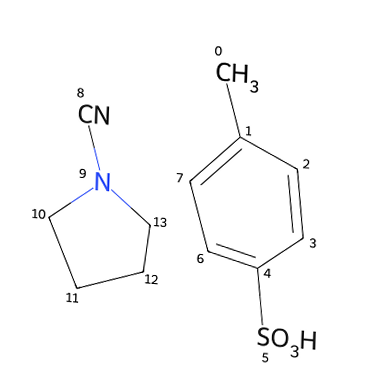 Cc1ccc(S(=O)(=O)O)cc1.N#CN1CCCC1